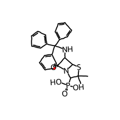 CC1(C)SC2C(NC(c3ccccc3)(c3ccccc3)c3ccccc3)C(=O)N2C1P(=O)(O)O